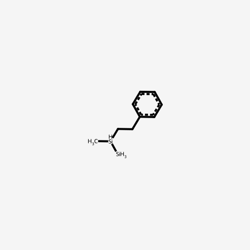 C[SiH]([SiH3])CCc1ccccc1